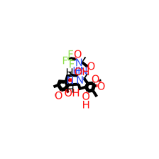 COc1c(C)cc2c(c1O)[C@H]1C3Cc4c(O)c(C)c5c(c4[C@H](CNC(=O)[C@H](C)NC(=O)C(F)(F)F)N3[C@@H](O)[C@@H](C2)N1C)OCO5